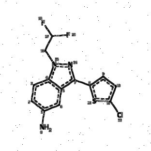 Nc1ccc2c(c1)c(-c1ccc(Cl)s1)nn2CC(F)F